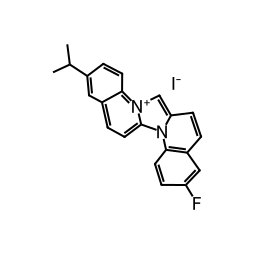 CC(C)c1ccc2c(ccc3n4c(ccc5cc(F)ccc54)c[n+]23)c1.[I-]